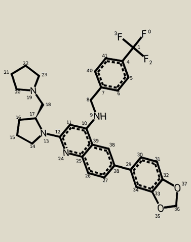 FC(F)(F)c1ccc(CNc2cc(N3CCC[C@H]3CN3CCCC3)nc3ccc(-c4ccc5c(c4)OCO5)cc23)cc1